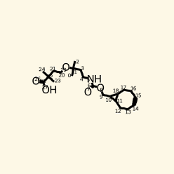 CC(C)(CCNC(=O)OCC1C2CCC#CCCC21)OCCC(C)(C)C(=O)O